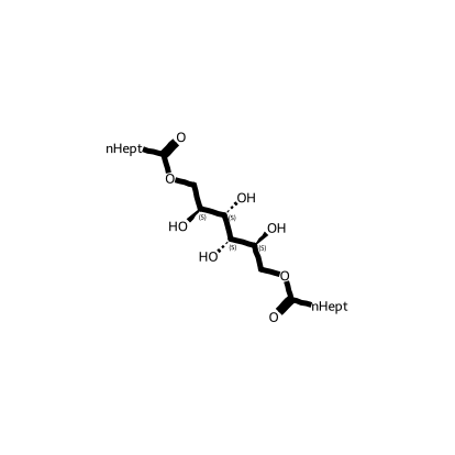 CCCCCCCC(=O)OC[C@H](O)[C@H](O)[C@@H](O)[C@@H](O)COC(=O)CCCCCCC